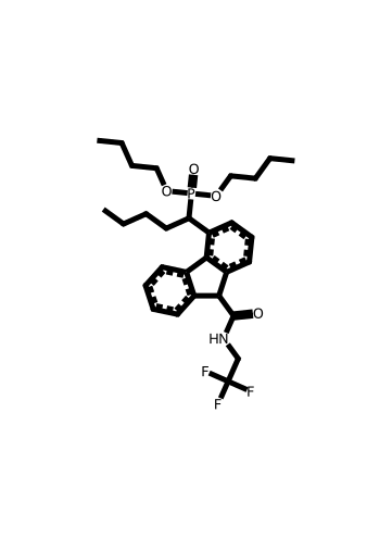 CCCCOP(=O)(OCCCC)C(CCCC)c1cccc2c1-c1ccccc1C2C(=O)NCC(F)(F)F